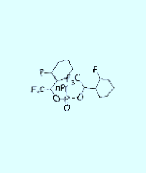 CCCP(=O)(OC(C1CCCCC1F)C(F)(F)F)OC(C1CCCCC1F)C(F)(F)F